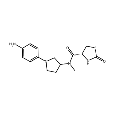 CN(C(=O)[C@@H]1CSC(=O)N1)C1CCN(c2ccc(N)cc2)C1